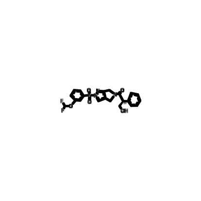 O=C([C@H](CO)c1ccccc1)N1Cc2cn(S(=O)(=O)c3cccc(OC(F)F)c3)nc2C1